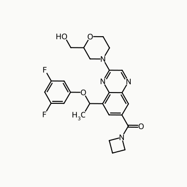 CC(Oc1cc(F)cc(F)c1)c1cc(C(=O)N2CCC2)cc2ncc(N3CCOC(CO)C3)nc12